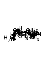 Cc1ncsc1-c1ccc(CNC(=O)[C@@H]2CCCN2C(=O)C(NC(=O)COCCOc2ncc(N3C(=S)N(c4ccc(C#N)c(C(F)(F)F)c4F)C(=O)C3(C)C)cc2C(N)=O)C(C)(C)C)cc1